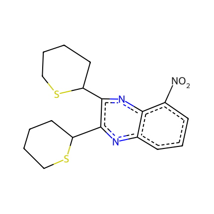 O=[N+]([O-])c1cccc2nc(C3CCCCS3)c(C3CCCCS3)nc12